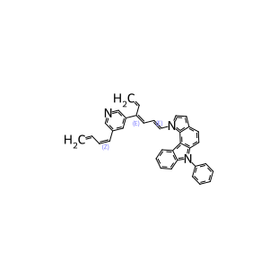 C=C/C=C\c1cncc(/C(C=C)=C/C=C/n2ccc3ccc4c(c5ccccc5n4-c4ccccc4)c32)c1